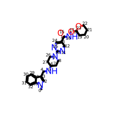 Cn1cc(CNC2CCN(c3ncc(C(=O)NOC4CCCCO4)cn3)CC2)c2ccccc21